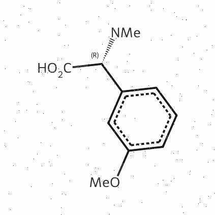 CN[C@@H](C(=O)O)c1cccc(OC)c1